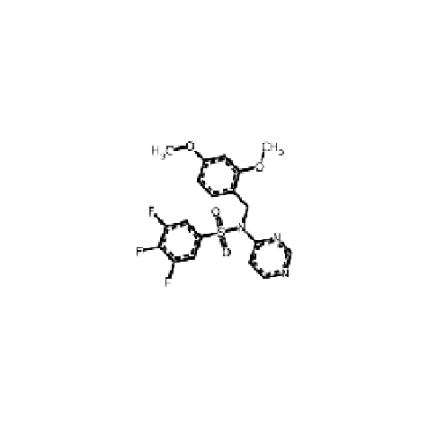 COc1ccc(CN(c2ccncn2)S(=O)(=O)c2cc(F)c(F)c(F)c2)c(OC)c1